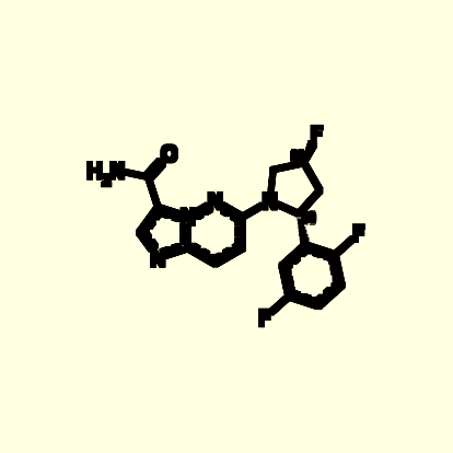 NC(=O)c1cnc2ccc(N3C[C@@H](F)C[C@@H]3c3cc(F)ccc3F)nn12